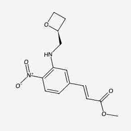 COC(=O)/C=C/c1ccc([N+](=O)[O-])c(NC[C@@H]2CCO2)c1